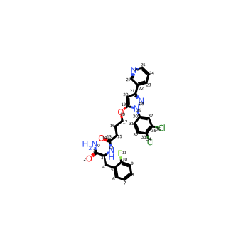 NC(=O)[C@H](Cc1ccccc1F)NC(=O)CCCOc1cc(-c2cccnc2)nn1-c1ccc(Cl)c(Cl)c1